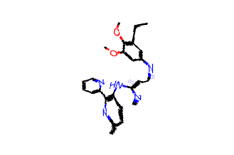 C=N/C(=C\C=N/c1cc(CC)c(OC)c(OC)c1)Nc1ccc(C)nc1-c1ccccn1